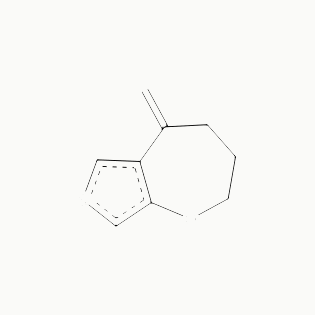 C=C1CCCOc2cscc21